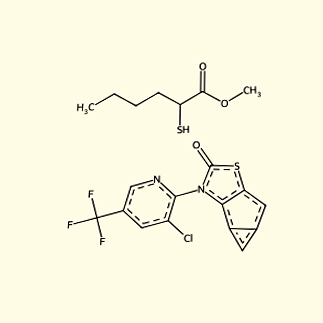 CCCCC(S)C(=O)OC.O=c1sc2cc3cc-3c2n1-c1ncc(C(F)(F)F)cc1Cl